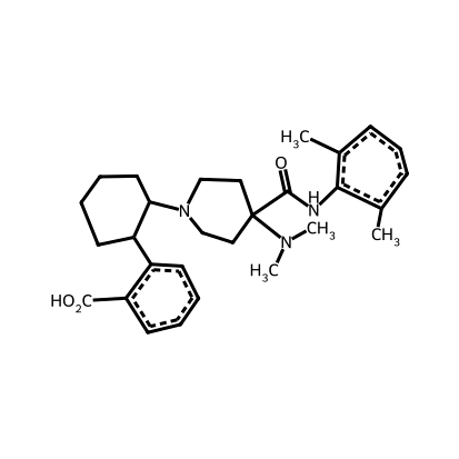 Cc1cccc(C)c1NC(=O)C1(N(C)C)CCN(C2CCCCC2c2ccccc2C(=O)O)CC1